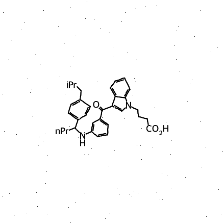 CCCC(Nc1cccc(C(=O)c2cn(CCCC(=O)O)c3ccccc23)c1)c1ccc(CC(C)C)cc1